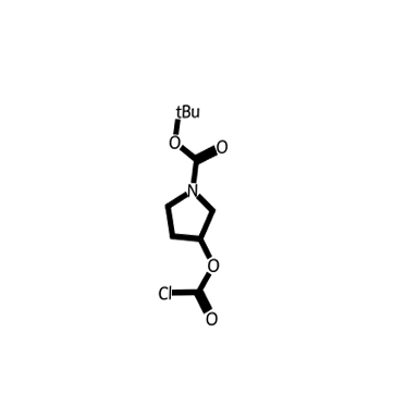 CC(C)(C)OC(=O)N1CCC(OC(=O)Cl)C1